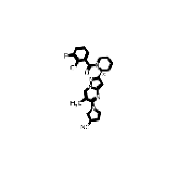 Cc1cn2nc([C@@H]3CCCCN3C(=O)c3cccc(F)c3Cl)cc2nc1N1CCC(C#N)C1